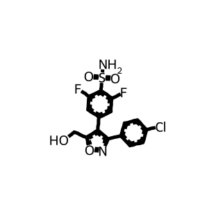 NS(=O)(=O)c1c(F)cc(-c2c(-c3ccc(Cl)cc3)noc2CO)cc1F